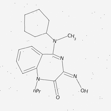 CCCn1c(=O)/c(=N\O)nc(N(C)C2CCCCC2)c2ccccc21